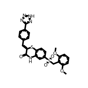 COc1cccc(OC)c1CS(=O)(=O)c1ccc2c(c1)NC(=O)C(=Cc1ccc(-c3nn[nH]n3)cc1)S2